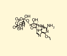 CCOc1nc(N)nc2c1ncn2[C@@H]1O[C@H](COP(=O)(O)OP(=O)(O)OP(=O)(O)O)[C@@H](O)[C@@]1(C)N